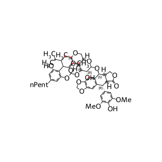 C=C(C)C1CCC(C)=CC1c1c(O)cc(CCCCC)cc1OC(=O)O[C@H]1[C@@H]2O[C@H](C)OC[C@H]2OC(O[C@@H]2c3cc4c(cc3[C@@H](c3cc(OC)c(O)c(OC)c3)[C@H]3C(=O)OC[C@@H]32)OCO4)[C@@H]1O